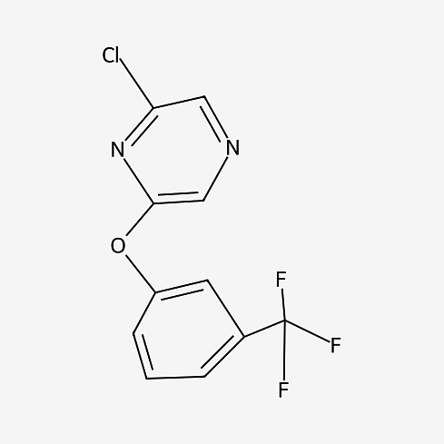 FC(F)(F)c1cccc(Oc2cncc(Cl)n2)c1